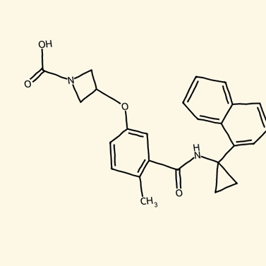 Cc1ccc(OC2CN(C(=O)O)C2)cc1C(=O)NC1(c2cccc3ccccc23)CC1